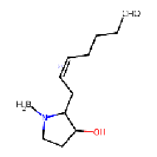 BN1CCC(O)C1C/C=C\CCCC=O